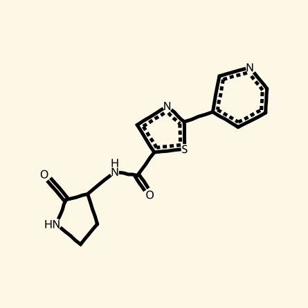 O=C(NC1CCNC1=O)c1cnc(-c2cccnc2)s1